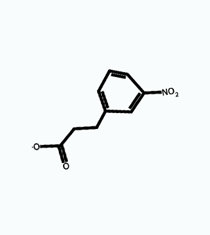 [O]C(=O)CCc1cccc([N+](=O)[O-])c1